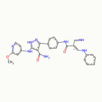 COc1cc(Nc2[nH]nc(-c3ccc(NC(=O)/C(C=N)=C/Nc4ccccc4)cc3)c2C(N)=O)ccn1